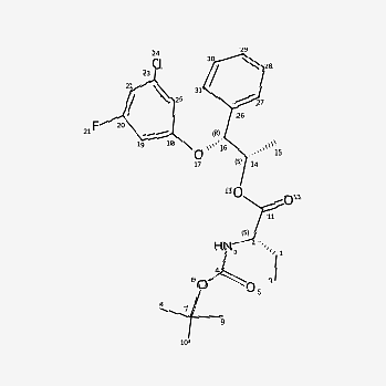 CC[C@H](NC(=O)OC(C)(C)C)C(=O)O[C@@H](C)[C@H](Oc1cc(F)cc(Cl)c1)c1ccccc1